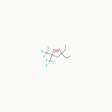 CCC(C)(CC)CC(O)(C(F)(F)F)C(F)(F)F